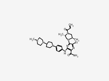 C=CC(=O)N1C[C@@H](C)N(c2nc(Nc3ccc(N4CCC(N5CCN(C)CC5)CC4)cc3)c(C(N)=O)nc2CC)C[C@@H]1C